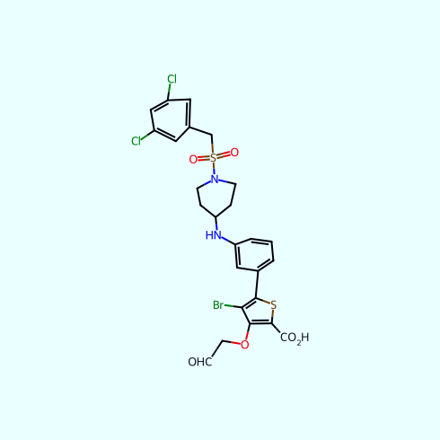 O=CCOc1c(C(=O)O)sc(-c2cccc(NC3CCN(S(=O)(=O)Cc4cc(Cl)cc(Cl)c4)CC3)c2)c1Br